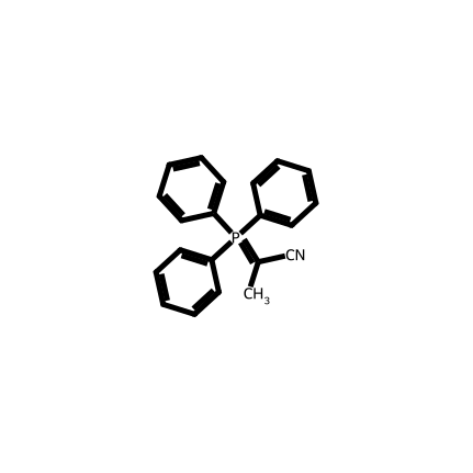 CC(C#N)=P(c1ccccc1)(c1ccccc1)c1ccccc1